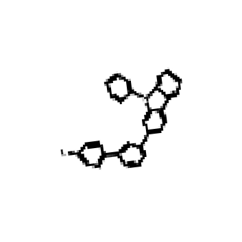 Brc1ccc(-c2cccc(-c3ccc4c5ccccc5n(-c5ccccc5)c4c3)c2)cc1